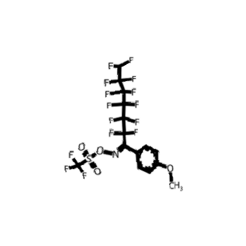 COc1ccc(/C(=N/OS(=O)(=O)C(F)(F)F)C(F)(F)C(F)(F)C(F)(F)C(F)(F)C(F)(F)C(F)F)cc1